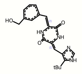 CC(C)(C)c1[nH]cnc1/C=c1\[nH]c(=O)/c(=C/c2cccc(CO)c2)[nH]c1=O